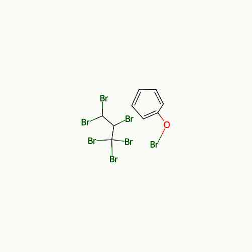 BrC(Br)C(Br)C(Br)(Br)Br.BrOc1ccccc1